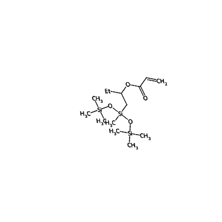 C=CC(=O)OC(CC)C[Si](C)(O[Si](C)(C)C)O[Si](C)(C)C